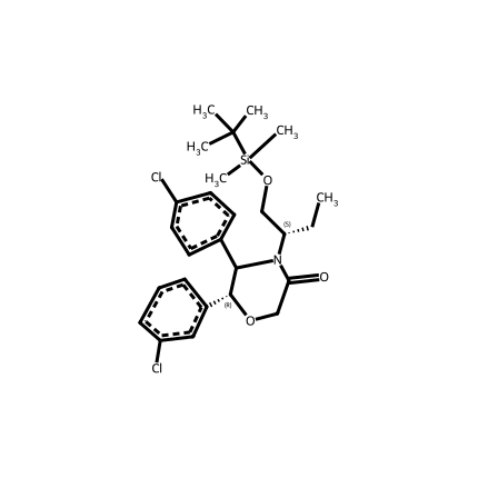 CC[C@@H](CO[Si](C)(C)C(C)(C)C)N1C(=O)CO[C@H](c2cccc(Cl)c2)C1c1ccc(Cl)cc1